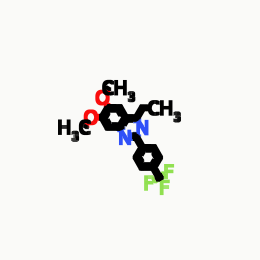 CCc1nc(-c2ccc(C(F)(F)F)cc2)nc2cc(OC)c(OC)cc12